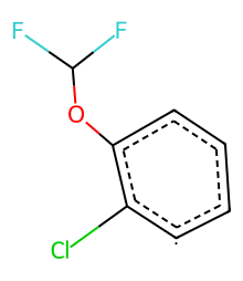 FC(F)Oc1ccc[c]c1Cl